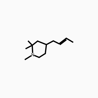 CC=CCC1CCN(C)C(C)(C)C1